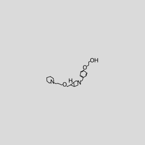 OCCOc1ccc(CN2CC3C(COCCCN4CCCCC4)[C@H]3C2)cc1